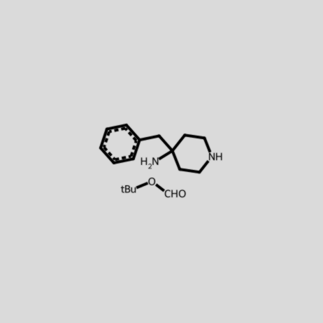 CC(C)(C)OC=O.NC1(Cc2ccccc2)CCNCC1